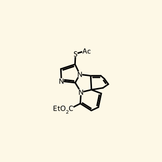 CCOC(=O)C1=CC=CC23CC=CC=C2n2c(SC(C)=O)cnc2N13